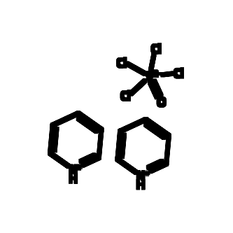 [O]=[V-2]([Cl])([Cl])([Cl])[Cl].c1cc[nH+]cc1.c1cc[nH+]cc1